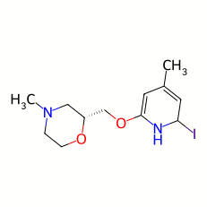 CC1=CC(I)NC(OC[C@H]2CN(C)CCO2)=C1